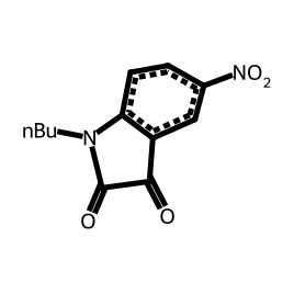 CCCCN1C(=O)C(=O)c2cc([N+](=O)[O-])ccc21